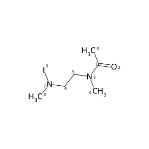 CC(=O)N(C)CCN(C)I